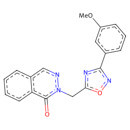 COc1cccc(-c2noc(Cn3ncc4ccccc4c3=O)n2)c1